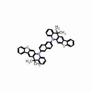 CC1(C)c2ccccc2N(c2ccc3cc(N4c5ccccc5C(C)(C)c5cc6c(cc54)sc4ccccc46)ccc3c2)c2cc3sc4ccccc4c3cc21